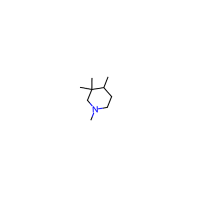 CC1CCN(C)CC1(C)C